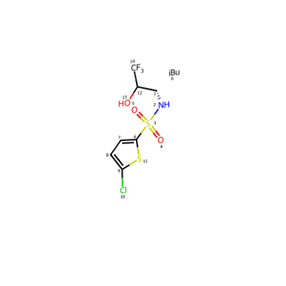 CC[C@H](C)[C@H](NS(=O)(=O)c1ccc(Cl)s1)C(O)C(F)(F)F